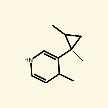 CC1C=CNC=C1[C@]1(C)CC1C